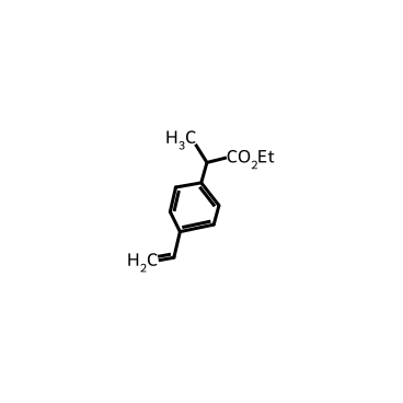 C=Cc1ccc(C(C)C(=O)OCC)cc1